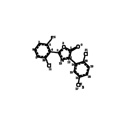 O=c1oc(-c2c(F)cccc2Cl)nn1-c1cc(C(F)(F)F)ccc1Cl